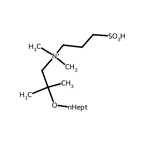 CCCCCCCOC(C)(C)C[N+](C)(C)CCCS(=O)(=O)O